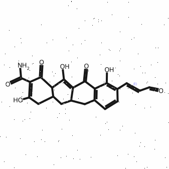 NC(=O)C1=C(O)CC2CC3Cc4ccc(/C=C/C=O)c(O)c4C(=O)C3=C(O)C2C1=O